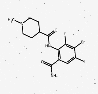 CN1CCC(C(=O)Nc2c(C(N)=O)cc(I)c(Br)c2F)CC1